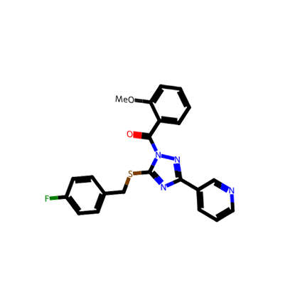 COc1ccccc1C(=O)n1nc(-c2cccnc2)nc1SCc1ccc(F)cc1